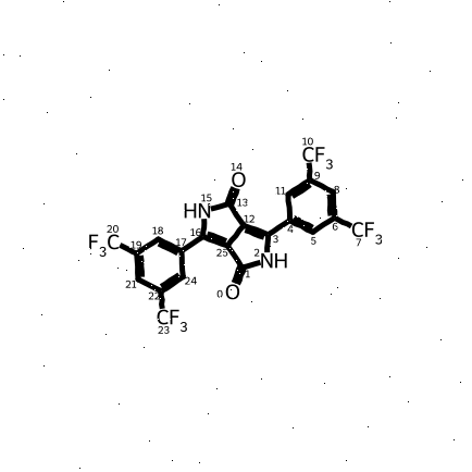 O=C1NC(c2cc(C(F)(F)F)cc(C(F)(F)F)c2)=C2C(=O)NC(c3cc(C(F)(F)F)cc(C(F)(F)F)c3)=C12